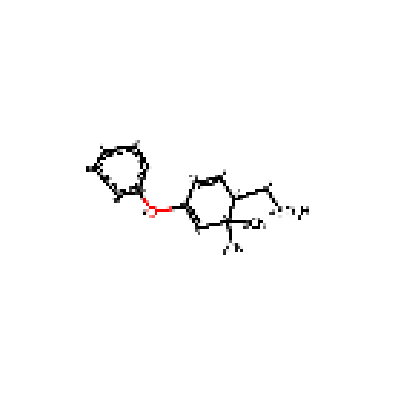 N#CC1(C#N)C=C(Oc2ccccc2)C=CC1CS(=O)(=O)O